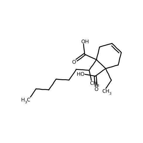 CCCCCCC(C)C1(C(=O)O)CC=CCC1(CC)C(=O)O